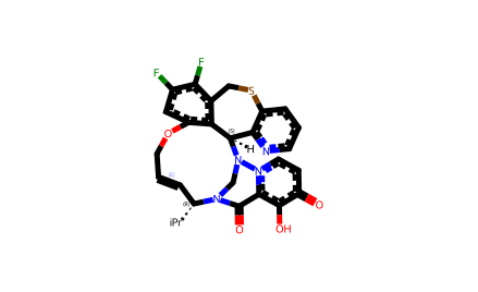 CC(C)[C@@H]1/C=C/COc2cc(F)c(F)c3c2[C@@H](c2ncccc2SC3)N2CN1C(=O)c1c(O)c(=O)ccn12